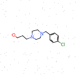 [O]CCCN1CCN(Cc2ccc(Cl)cc2)CC1